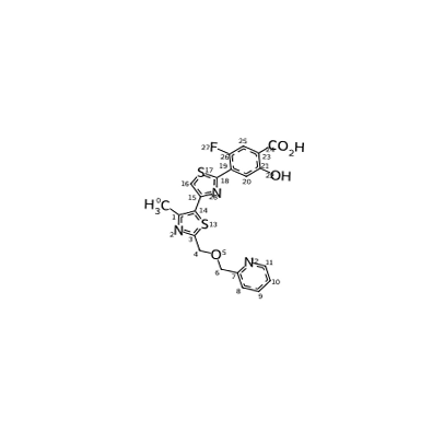 Cc1nc(COCc2ccccn2)sc1-c1csc(-c2cc(O)c(C(=O)O)cc2F)n1